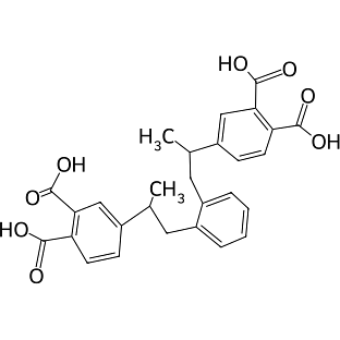 CC(Cc1ccccc1CC(C)c1ccc(C(=O)O)c(C(=O)O)c1)c1ccc(C(=O)O)c(C(=O)O)c1